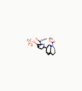 COC(=O)c1nc(-c2ccc3c(c2)N(C(=O)OC(C)(C)C)CCC3)ccc1OS(=O)(=O)C(F)(F)F